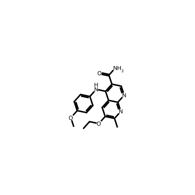 CCOc1cc2c(Nc3ccc(OC)cc3)c(C(N)=O)cnc2nc1C